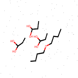 CCC(O)O.CCC(O)O.CCC(O)O.CCCCOCCCC